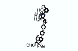 CNC(=O)C(CCC=O)N1CCOc2c1cccc2[C@H]1CC[C@@H](N2CCC(n3cc(C(/C=C(\N)c4cccc(Cl)c4O)=C(N)N)cn3)CC2)CC1